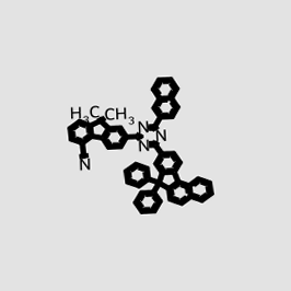 CC1(C)c2cc(-c3nc(-c4ccc5c(c4)C(c4ccccc4)(c4ccccc4)c4ccc6ccccc6c4-5)nc(-c4ccc5ccccc5c4)n3)ccc2-c2c(C#N)cccc21